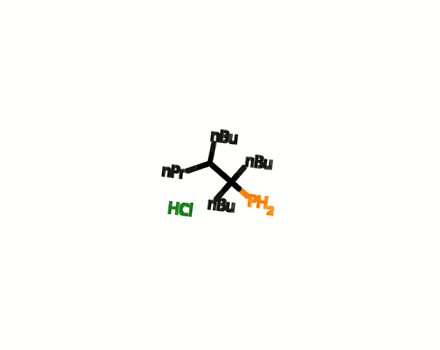 CCCCC(CCC)C(P)(CCCC)CCCC.Cl